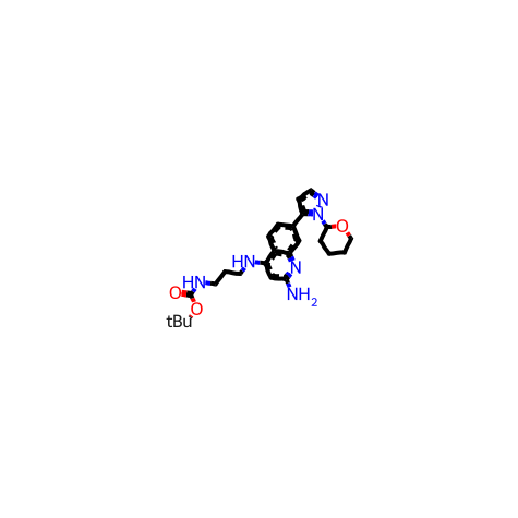 CC(C)(C)OC(=O)NCCCNc1cc(N)nc2cc(-c3ccnn3C3CCCCO3)ccc12